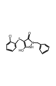 O=c1c(Sc2ccccc2Cl)c(O)[nH]n1Cc1ccccc1